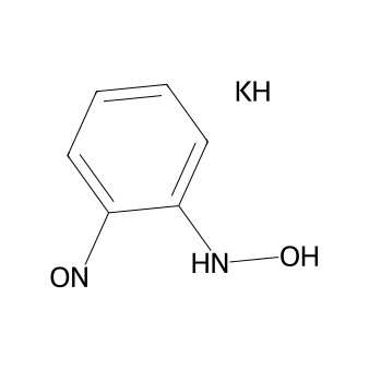 O=Nc1ccccc1NO.[KH]